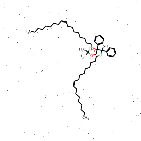 CCCCCCCC/C=C\CCCCCCCCOC([SiH3])(c1ccccc1)C(COC(C)(C)C)(OCCCCCCCC/C=C\CCCCCCCC)c1ccccc1